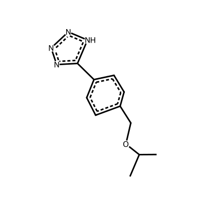 CC(C)OCc1ccc(-c2nnn[nH]2)cc1